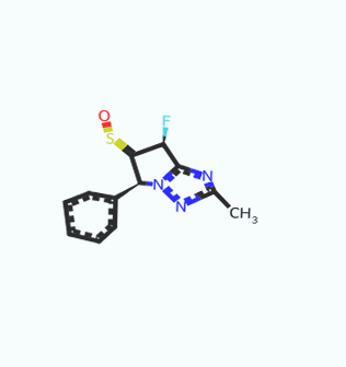 Cc1nc2n(n1)[C@@H](c1ccccc1)C(=S=O)[C@H]2F